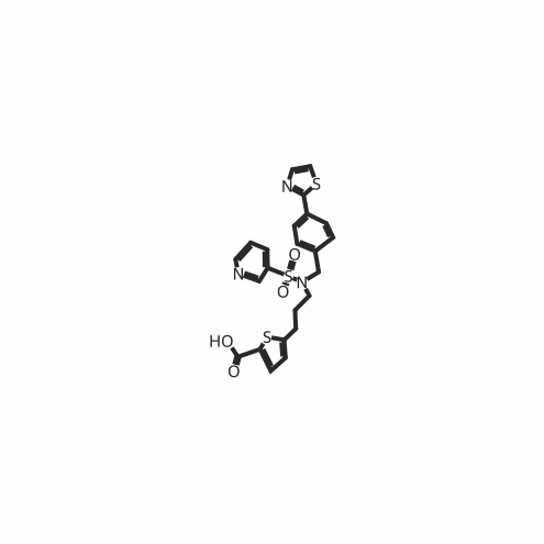 O=C(O)c1ccc(CCCN(Cc2ccc(-c3nccs3)cc2)S(=O)(=O)c2cccnc2)s1